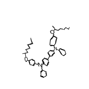 CCCCCCC(C)Oc1ccc(N(c2ccccc2)c2ccc(-c3ccc(N(c4ccccc4)c4ccc(OC(C)CCCCCC)cc4)cc3)cc2)cc1